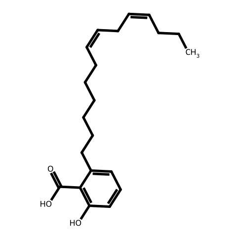 CCC/C=C\C/C=C\CCCCCCc1cccc(O)c1C(=O)O